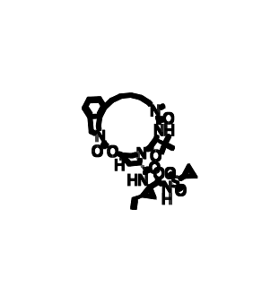 C=C[C@@H]1C[C@]1(NC(=O)[C@@H]1C[C@@H]2CN1C(=O)[C@H](C(C)(C)C)NC(=O)N(C)CCCCCc1cccc3c1CN(C3)C(=O)O2)C(=O)NS(=O)(=O)C1CC1